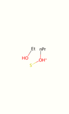 CCC[OH+][S-].CCO